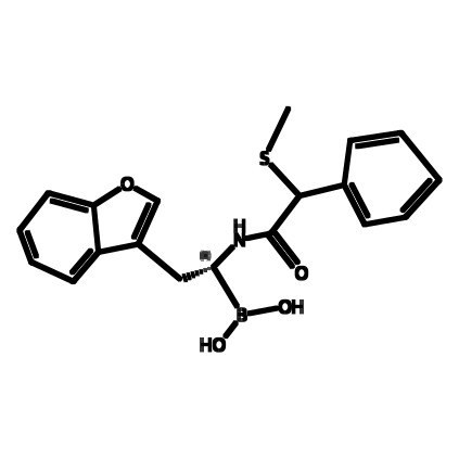 CSC(C(=O)N[C@@H](Cc1coc2ccccc12)B(O)O)c1ccccc1